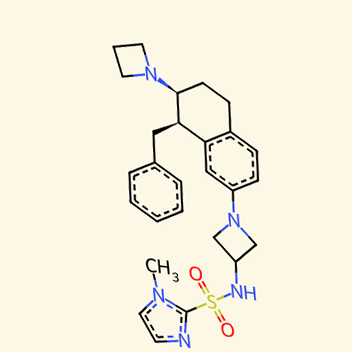 Cn1ccnc1S(=O)(=O)NC1CN(c2ccc3c(c2)[C@@H](Cc2ccccc2)[C@@H](N2CCC2)CC3)C1